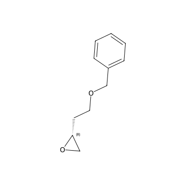 c1ccc(COCC[C@@H]2CO2)cc1